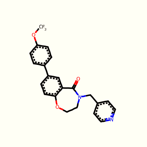 O=C1c2cc(-c3ccc(OC(F)(F)F)cc3)ccc2OCCN1Cc1ccncc1